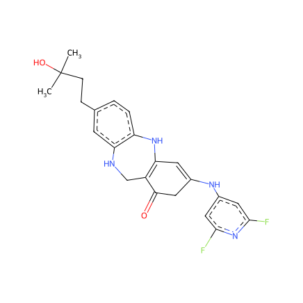 CC(C)(O)CCc1ccc2c(c1)NCC1=C(C=C(Nc3cc(F)nc(F)c3)CC1=O)N2